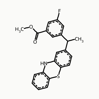 COC(=O)c1cc(F)cc(C(C)c2ccc3c(c2)Nc2ccccc2S3)c1